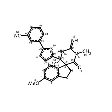 COc1ccc2c(c1)CC[C@@]21C(=O)N(C)C(=N)N[C@]1(C)c1ccc(-c2cccc(C#N)c2)s1